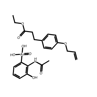 C=CCOc1ccc(CCC(=O)OCC)cc1.CC(=O)Nc1c(O)cccc1[As](=O)(O)O